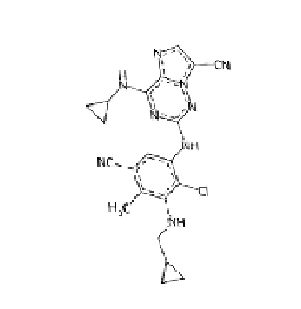 Cc1c(C#N)cc(Nc2nc(NC3CC3)c3ncc(C#N)n3n2)c(Cl)c1NCC1CC1